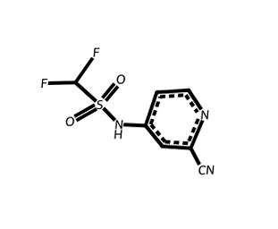 N#Cc1cc(NS(=O)(=O)C(F)F)ccn1